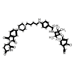 CC1(C)[C@H](NC(=O)c2ccc(NCCCCN3CCN(c4ccc5c(c4)C(=O)N(C4CCC(=O)NC4=O)C5=O)CC3)cc2)C(C)(C)[C@H]1Oc1ccc(C#N)c(Cl)c1